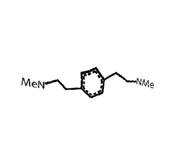 CNCCc1ccc(CCNC)cc1